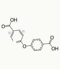 C=C(/C=C\C(=C/C)C(=O)O)Oc1ccc(C(=O)O)cc1